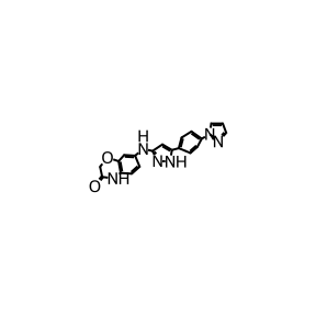 O=C1COc2cc(Nc3cc(-c4ccc(-n5cccn5)cc4)[nH]n3)ccc2N1